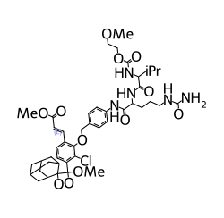 COCCOC(=O)NC(C(=O)NC(CCCNC(N)=O)C(=O)Nc1ccc(COc2c(/C=C/C(=O)OC)ccc(C3(OC)OOC34C3CC5CC(C3)CC4C5)c2Cl)cc1)C(C)C